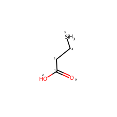 O=C(O)CC[SiH3]